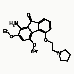 CCCOc1cc(OCC)c(N)c2c1-c1c(OCCN3CCCC3)cccc1C2=O